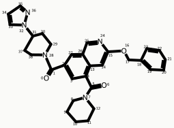 O=C(c1cc(C(=O)N2CCCCC2)c2cc(OCc3ccccc3)ncc2c1)N1CCC(n2cccn2)CC1